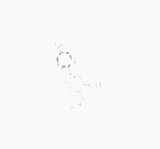 OCC1CCN(c2ncc(Cl)cn2)CC1O